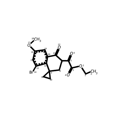 CCOC(=O)C(=O)C1CC2(CC2)c2c(Br)cc(OC)cc2C1=O